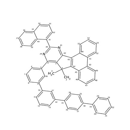 CC1(C)c2c(-c3cccc(-c4cccc(-c5ccc(-c6ccccc6)cc5)c4)c3)nc(-c3cccc4ccccc34)nc2-c2c1c1ccccc1c1ccccc21